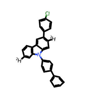 [2H]c1ccc2c3cc(-c4ccc(Cl)cc4)c([2H])cc3n(-c3ccc(-c4ccccc4)cc3)c2c1